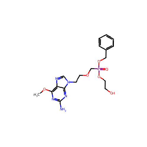 COc1nc(N)nc2c1ncn2CCOCP(=O)(OCCO)OCc1ccccc1